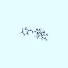 CC(C)(C#N)S(C)(=O)=NCCOC1CCCCO1